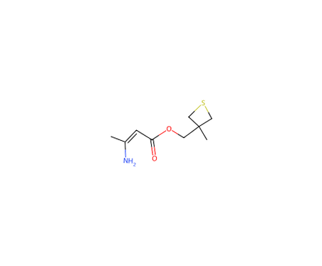 CC(N)=CC(=O)OCC1(C)CSC1